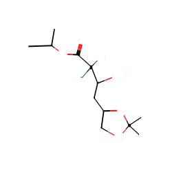 CC(C)OC(=O)C(Cl)(Cl)C(O)CC1COC(C)(C)O1